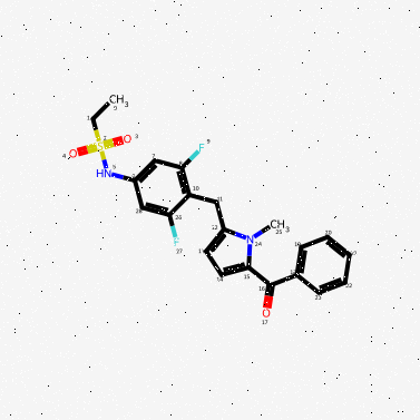 CCS(=O)(=O)Nc1cc(F)c(Cc2ccc(C(=O)c3ccccc3)n2C)c(F)c1